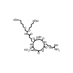 CCCCCCCCCCCCCCOCC(NC(=O)CCC[C@@H]1NC(=O)[C@H](CC(=O)O)NC(=O)CNC(=O)[C@H](CCCNC(=N)N)NC(=O)[C@@H](C(C)C)NC1=O)OCCCCCCCCCCCCCC